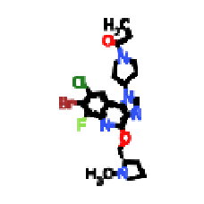 C=CC(=O)N1CCC(n2cnc3c(OC[C@@H]4CCCN4C)nc4c(F)c(Br)c(Cl)cc4c32)CC1